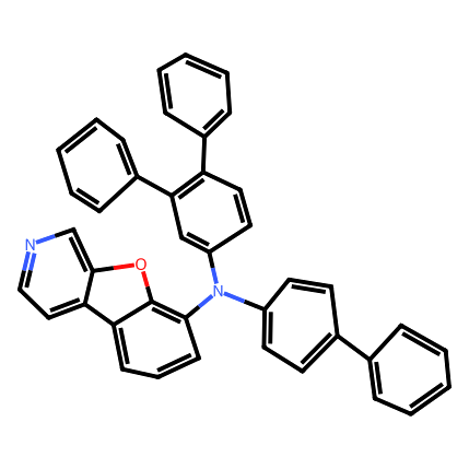 c1ccc(-c2ccc(N(c3ccc(-c4ccccc4)c(-c4ccccc4)c3)c3cccc4c3oc3cnccc34)cc2)cc1